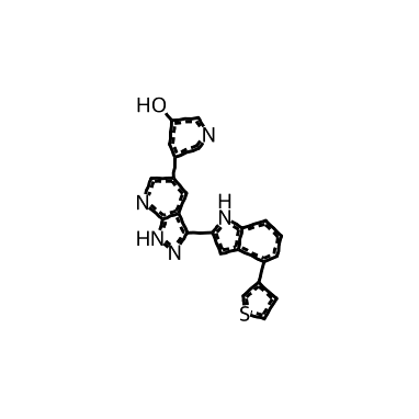 Oc1cncc(-c2cnc3[nH]nc(-c4cc5c(-c6ccsc6)cccc5[nH]4)c3c2)c1